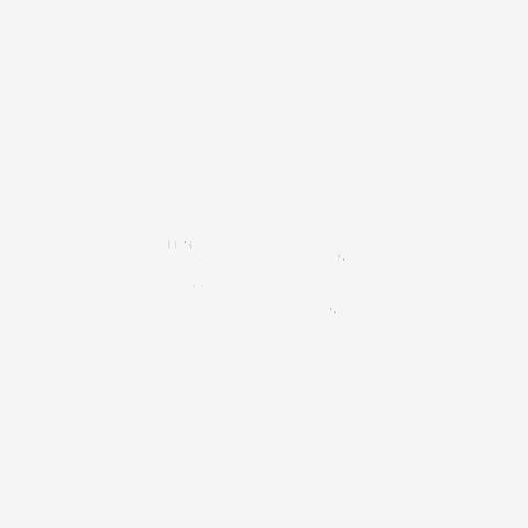 N#CN1CCCC1c1ccc(C(N)=O)cc1